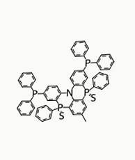 Cc1cc2c3c(c1)P(=S)(c1ccccc1)c1cc(P(c4ccccc4)c4ccccc4)ccc1N3c1ccc(P(c3ccccc3)c3ccccc3)cc1P2(=S)c1ccccc1